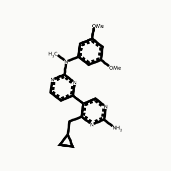 COc1cc(OC)cc(N(C)c2nccc(-c3cnc(N)nc3CC3CC3)n2)c1